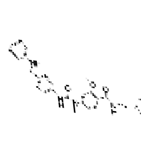 CCN(CC)CCNC(=O)c1ccc(NC(=O)Nc2ccc(CNc3ccccc3)cc2)cc1OC